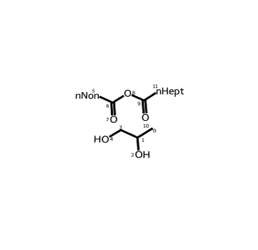 CC(O)CO.CCCCCCCCCC(=O)OC(=O)CCCCCCC